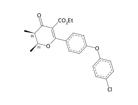 CCOC(=O)C1=C(c2ccc(Oc3ccc(Cl)cc3)cc2)O[C@@H](C)[C@@H](C)C1=O